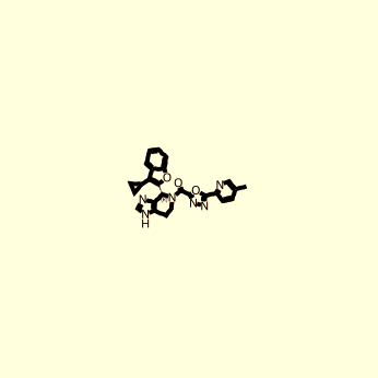 Cc1ccc(-c2nnc(C(=O)N3CCc4[nH]cnc4[C@@H]3c3oc4ccccc4c3C3CC3)o2)nc1